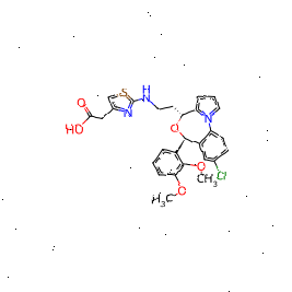 COc1cccc([C@H]2O[C@H](CCNc3nc(CC(=O)O)cs3)c3cccn3-c3ccc(Cl)cc32)c1OC